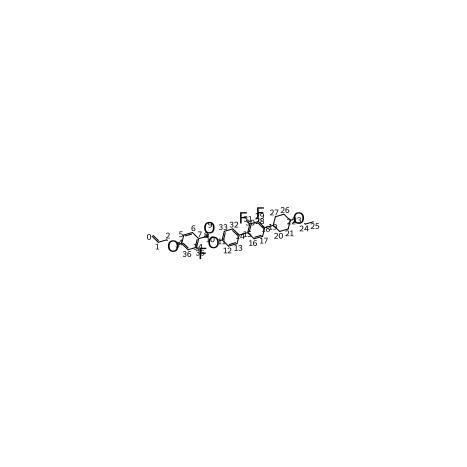 C=CCOc1ccc(C(=O)Oc2ccc(-c3ccc(C4CCC(OCC)CC4)c(F)c3F)cc2)c(F)c1